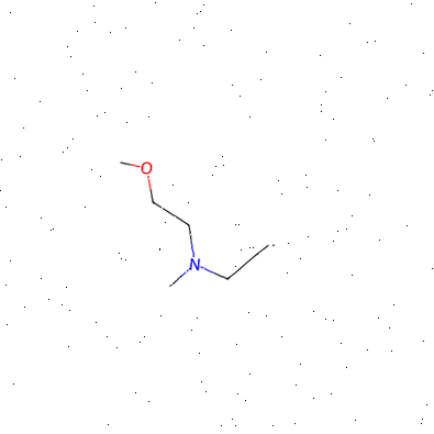 [CH2]CN(C)CCOC